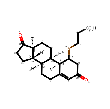 C[C@]12CC[C@@H]3[C@@H](CCC4=CC(=O)CC(SCCC(=O)O)[C@@]43C)[C@@H]1CCC2=O